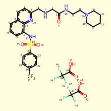 O=C(CNCc1ccc2cccc(NS(=O)(=O)c3ccc(C(F)(F)F)cc3)c2n1)NCCN1CCCCC1.O=C(O)C(F)(F)F.O=C(O)C(F)(F)F